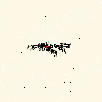 Cc1ccccc1[C@@H]1CN(Cc2ccc(F)c(F)c2)CCN1C1CC2(CCN(c3ccc(C(=O)NS(=O)(=O)c4cc5c(c([N+](=O)[O-])c4)N[C@H](C4CCC(C)(O)CC4)CO5)c(N4c5cc6cc[nH]c6nc5O[C@H]5COCC[C@@H]54)c3)CC2)C1